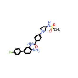 CS(=O)(=O)NC1CCN(c2ccc(C(=O)Nc3cc(-c4ccc(F)cc4)ccc3N)cc2)C1